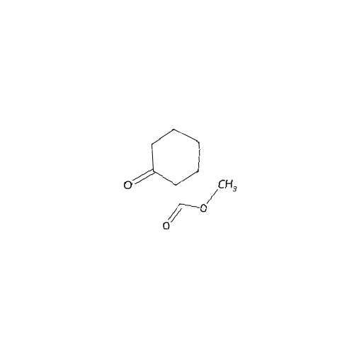 COC=O.O=C1CCCCC1